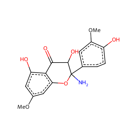 COc1cc(O)c2c(c1)OC(N)(c1ccc(O)c(OC)c1)C(O)C2=O